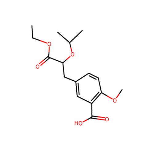 CCOC(=O)C(Cc1ccc(OC)c(C(=O)O)c1)OC(C)C